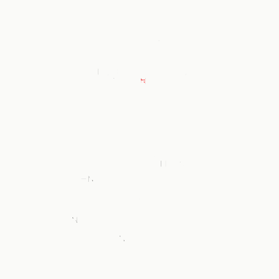 CS(=O)(=O)O.O=C(O)CC1C2CCCC1CN(Cc1ccc3c(c1)Nc1nccnc1S3)C2